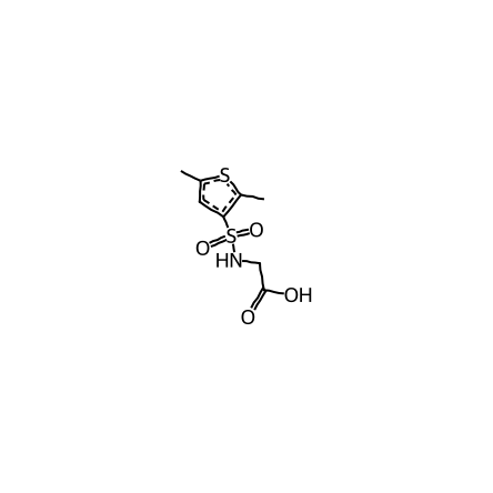 Cc1cc(S(=O)(=O)NCC(=O)O)c(C)s1